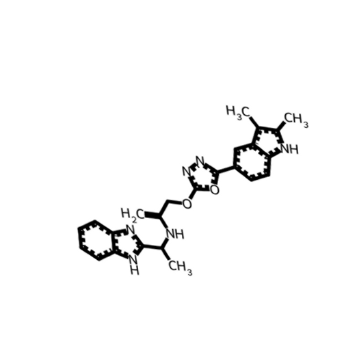 C=C(COc1nnc(-c2ccc3[nH]c(C)c(C)c3c2)o1)NC(C)c1nc2ccccc2[nH]1